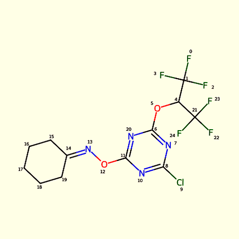 FC(F)(F)C(Oc1nc(Cl)nc(ON=C2CCCCC2)n1)C(F)(F)F